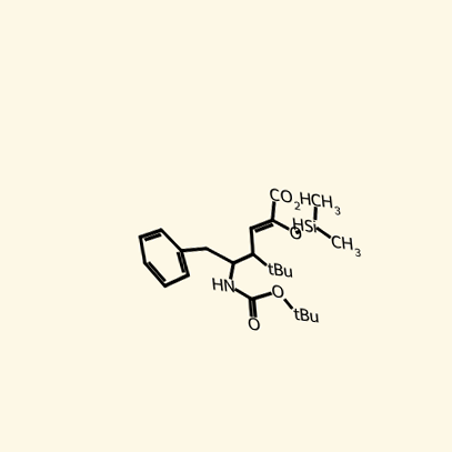 C[SiH](C)OC(=CC(C(Cc1ccccc1)NC(=O)OC(C)(C)C)C(C)(C)C)C(=O)O